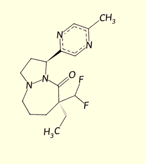 CC[C@]1(C(F)F)CCCN2CC[C@@H](c3cnc(C)cn3)N2C1=O